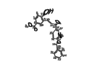 COC(=O)c1ccc(O)c(/C=C/C(=O)c2ccc(OCc3ccccc3)nc2)c1